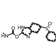 CNC(=O)Oc1nc2cc([S+]([O-])c3ccccc3)ccc2[nH]1